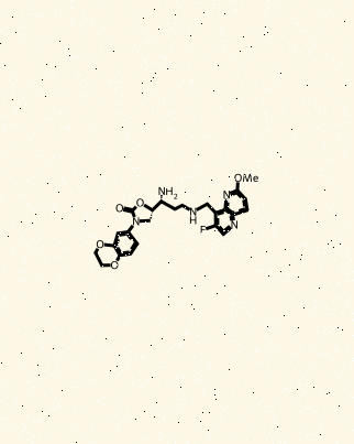 COc1ccc2ncc(F)c(CNCC[C@@H](N)[C@@H]3CN(c4ccc5c(c4)OCCO5)C(=O)O3)c2n1